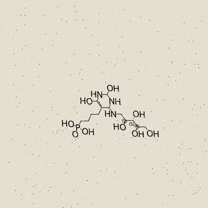 O=P(O)(O)CCCCC1=C(O)NC(O)NC1NC[C@H](O)[C@H](O)[C@H](O)CO